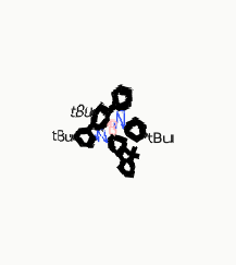 CC(C)(C)c1ccc(N2B3c4cc5c(cc4-n4c6ccc(C(C)(C)C)cc6c6c(C(C)(C)C)cc(c3c64)-c3ccccc32)-c2ccccc2C5(C)C)cc1